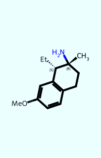 CC[C@H]1c2cc(OC)ccc2CC[C@@]1(C)N